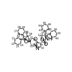 CC(C)(C)[Si](NS(=O)(=O)c1cnn2c1OC[C@H](O[Si](c1ccccc1)(c1ccccc1)C(C)(C)C)C2)(c1ccccc1)c1ccccc1